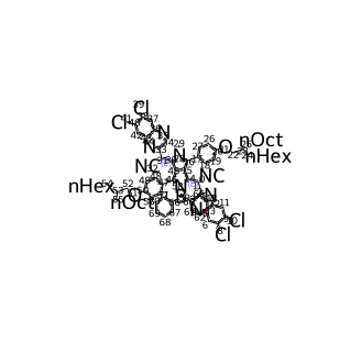 [C-]#[N+]/C(c1cnc2cc(Cl)c(Cl)cc2n1)=c1\c2c(-c3ccc(OCC(CCCCCC)CCCCCCCC)cc3)n(C)/c(=C(/C#N)c3cnc4cc(Cl)c(Cl)cc4n3)c2c(-c2ccc(OCC(CCCCCC)CCCCCCCC)cc2)n1B(c1ccccc1)c1ccccc1